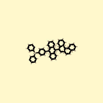 c1ccc(N(c2ccccc2)c2ccc(-c3c4ccccc4c(-c4cc5ccc6ccccc6c5c5ccccc45)c4ccccc34)cc2)cc1